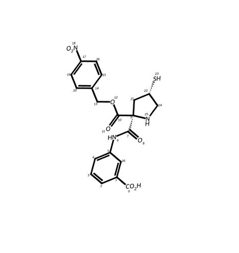 O=C(O)c1cccc(NC(=O)[C@]2(C(=O)OCc3ccc([N+](=O)[O-])cc3)C[C@H](S)CN2)c1